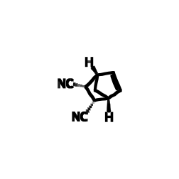 N#C[C@@H]1[C@H](C#N)[C@@H]2C=C[C@H]1C2